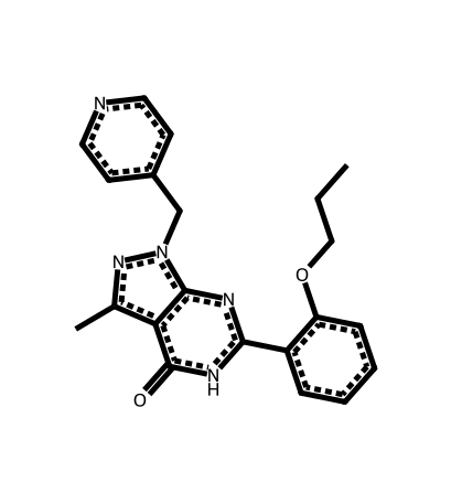 CCCOc1ccccc1-c1nc2c(c(C)nn2Cc2ccncc2)c(=O)[nH]1